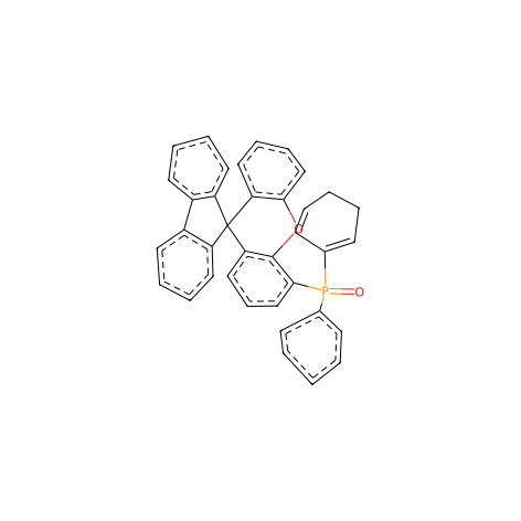 O=P(C1=CCCC=C1)(c1ccccc1)c1cccc2c1Oc1ccccc1C21c2ccccc2-c2ccccc21